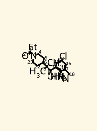 CCC(=O)N1CCC(C(C)(C)[C@@H](O)c2cc(Cl)cc3cn[nH]c23)CC1